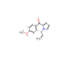 C=CCn1cccc1C(=O)c1ccc(OC)cc1